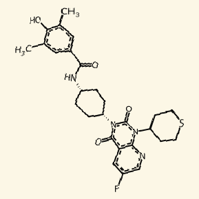 Cc1cc(C(=O)N[C@H]2CC[C@@H](n3c(=O)c4cc(F)cnc4n(C4CCSCC4)c3=O)CC2)cc(C)c1O